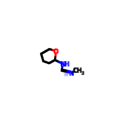 C/N=C\NC1CCCCO1